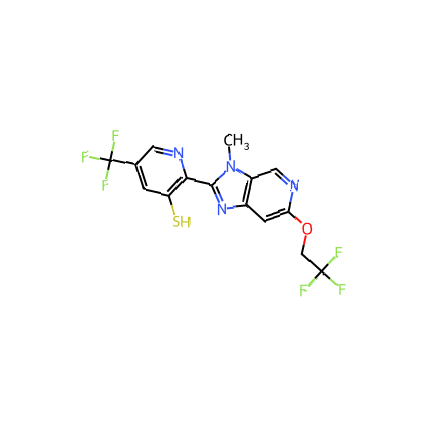 Cn1c(-c2ncc(C(F)(F)F)cc2S)nc2cc(OCC(F)(F)F)ncc21